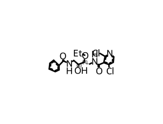 CCO[C@H](CNC(=O)c1c(Cl)ccnc1Cl)[C@@H](O)CNC(=O)c1ccccc1